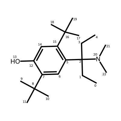 CCC(CC)(c1cc(C(C)(C)C)c(O)cc1C(C)(C)C)N(C)C